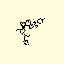 CCC1CN(C(=O)Cn2cncn2)CN1n1cnc2cnc3c(ccn3S(=O)(=O)c3ccc(C)cc3)c21